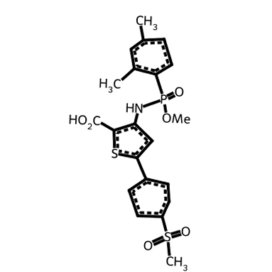 COP(=O)(Nc1cc(-c2ccc(S(C)(=O)=O)cc2)sc1C(=O)O)c1ccc(C)cc1C